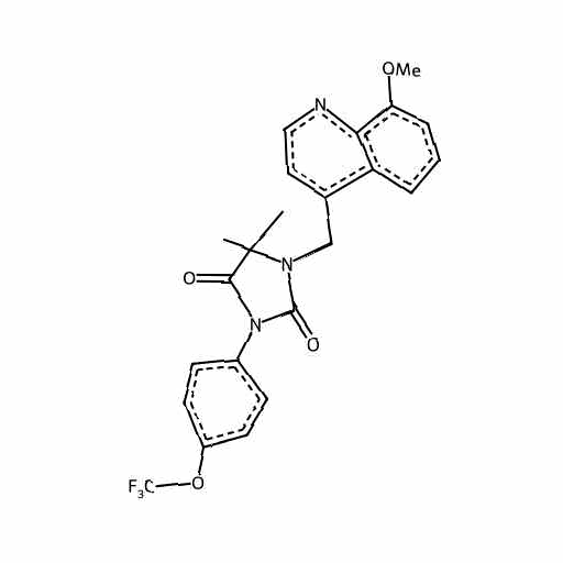 COc1cccc2c(CN3C(=O)N(c4ccc(OC(F)(F)F)cc4)C(=O)C3(C)C)ccnc12